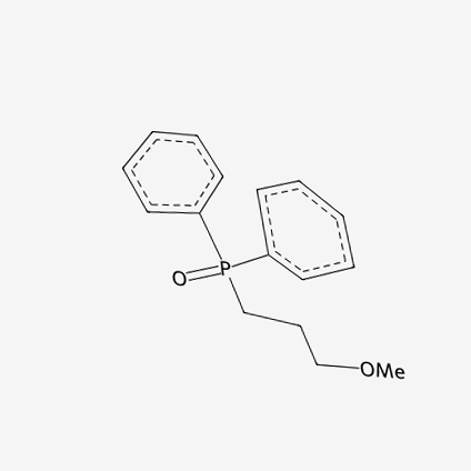 COCCCP(=O)(c1ccccc1)c1ccccc1